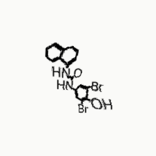 O=C(Nc1cc(Br)c(O)c(Br)c1)Nc1cccc2ccccc12